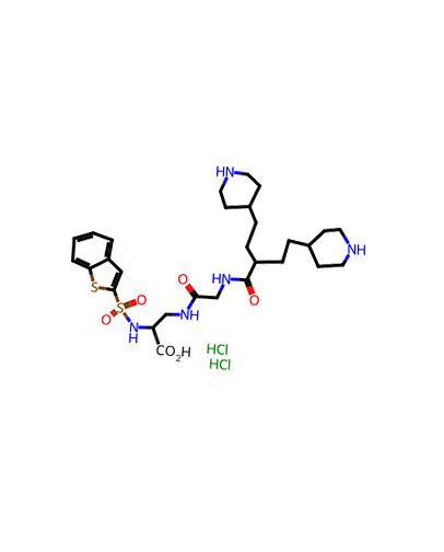 Cl.Cl.O=C(CNC(=O)C(CCC1CCNCC1)CCC1CCNCC1)NCC(NS(=O)(=O)c1cc2ccccc2s1)C(=O)O